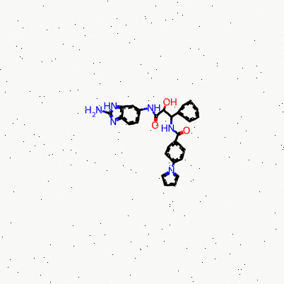 Nc1nc2ccc(NC(=O)C(O)C(NC(=O)c3ccc(-n4cccc4)cc3)c3ccccc3)cc2[nH]1